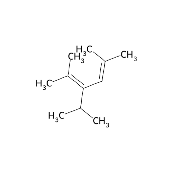 CC(C)=CC(=C(C)C)C(C)C